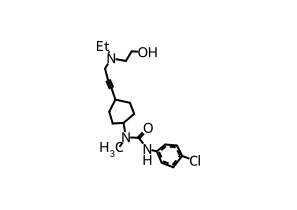 CCN(CC#CC1CCC(N(C)C(=O)Nc2ccc(Cl)cc2)CC1)CCO